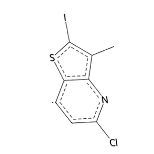 Cc1c(I)sc2[c]cc(Cl)nc12